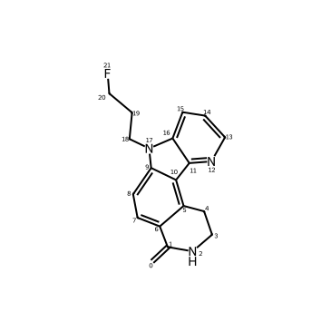 C=C1NCCc2c1ccc1c2c2ncccc2n1CCCF